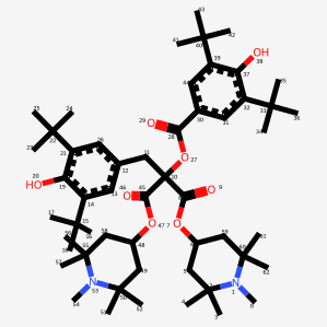 CN1C(C)(C)CC(OC(=O)C(Cc2cc(C(C)(C)C)c(O)c(C(C)(C)C)c2)(OC(=O)c2cc(C(C)(C)C)c(O)c(C(C)(C)C)c2)C(=O)OC2CC(C)(C)N(C)C(C)(C)C2)CC1(C)C